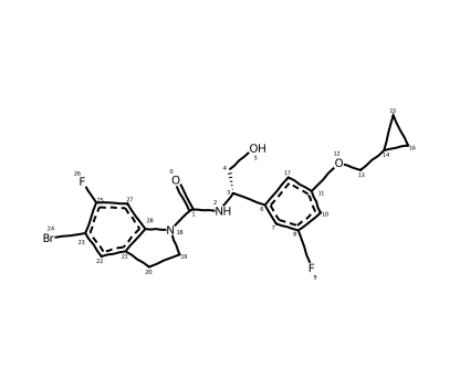 O=C(N[C@H](CO)c1cc(F)cc(OCC2CC2)c1)N1CCc2cc(Br)c(F)cc21